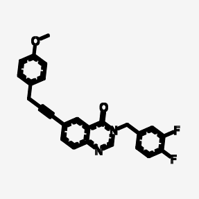 COc1ccc(CC#Cc2ccc3ncn(Cc4ccc(F)c(F)c4)c(=O)c3c2)cc1